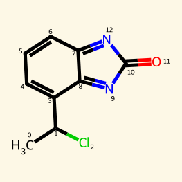 CC(Cl)c1cccc2c1=NC(=O)N=2